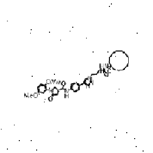 COc1ccc(OC)c(N2CC(C(=O)Nc3ccc(-c4cn(CCCC(=O)NC5(C)CCCCCCCCCCCC5)nn4)cc3)CC2=O)c1